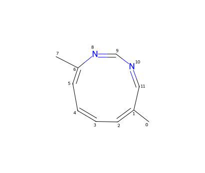 Cc1ccccc(C)ncnc1